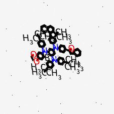 CC(C)(C)c1ccc(N2c3ccc(C(C)(C)C)cc3B3c4cc5c(cc4N(c4ccc(C(C)(C)C)cc4)c4cc(N(c6ccc(-c7cc8ccccc8o7)cc6)c6ccc7c(c6)C(C)(C)c6ccc8ccccc8c6-7)cc2c43)OCCO5)cc1